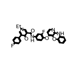 CCn1cc(C(=O)Nc2ccc(Oc3ccnc4c3Oc3ccccc3N4)c(F)c2)c(=O)c(-c2ccc(F)cc2)c1